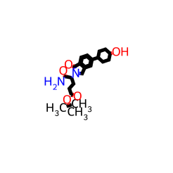 CC(C)(C)OC(=O)CCC(C(N)=O)N1Cc2cc(C3CCC(O)CC3)ccc2C1=O